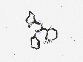 CN1CCS/C1=N/C(=N/c1ccccc1)C1CNCCS1